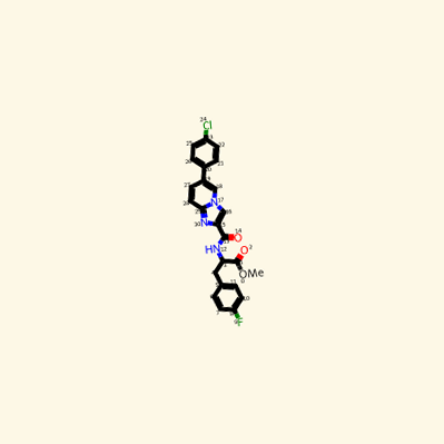 COC(=O)C(Cc1ccc(F)cc1)NC(=O)c1cn2cc(-c3ccc(Cl)cc3)ccc2n1